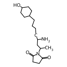 CC(CC(N)CCCCC1CCC(O)CC1)N1C(=O)CCC1=O